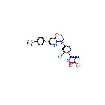 O=c1[nH]c(-c2ccc(N3CCOc4cc(-c5ccc(C(F)(F)F)cc5)cnc43)cc2Cl)no1